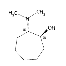 CN(C)[C@H]1CCCCC[C@@H]1O